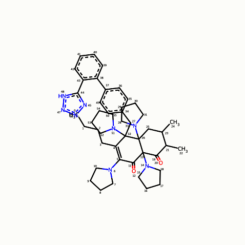 CCCCC1=C(N2CCCC2)C(=O)C2(N3CCCC3)C(=O)C(C)C(C)CC2(N2CCCC2)C1(Cc1ccc(-c2ccccc2-c2nnn[nH]2)cc1)N1CCCC1